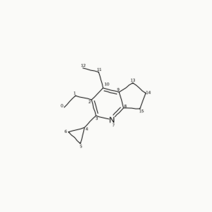 CCc1c(C2CC2)nc2c(c1CC)CCC2